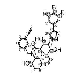 C#Cc1cccc(CN(C(=O)[C@@H]2O[C@H](CO)[C@H](O)[C@H](n3cc(-c4cc(F)c(F)c(F)c4)nn3)[C@H]2O)[C@H]2CCCC[C@@H]2O)c1